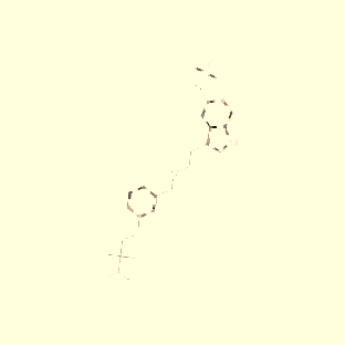 CS(=O)(=O)Nc1ccc2[nH]cc(CCNCc3cccc(OCC(F)(F)C(F)F)c3)c2c1